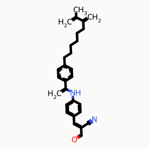 C=C(C)C(=C)CCCCCCc1ccc(C(=C)NC2=C=C=C(/C=C(\C#N)C=O)C=C2)cc1